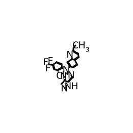 CCc1ccc2ccc(N(c3ncc4[nH]ncc4n3)c3ccc(C(F)(F)F)cc3Cl)cc2n1